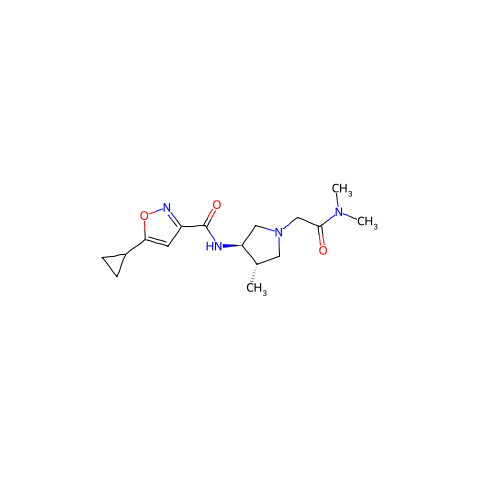 C[C@H]1CN(CC(=O)N(C)C)C[C@@H]1NC(=O)c1cc(C2CC2)on1